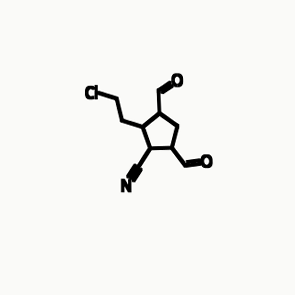 N#CC1C(C=O)CC(C=O)C1CCCl